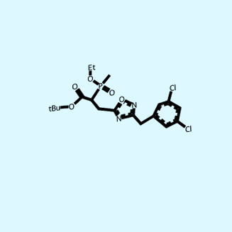 CCOP(C)(=O)C(Cc1nc(Cc2cc(Cl)cc(Cl)c2)no1)C(=O)OC(C)(C)C